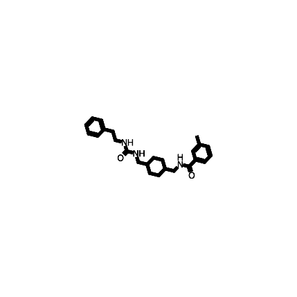 Cc1cccc(C(=O)NCC2CCC(CNC(=O)NCCc3ccccc3)CC2)c1